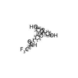 O=C(C=Cc1ccc(Oc2c(-c3ccc(O)cc3)sc3cc(O)ccc23)cc1)NCCC(F)(F)F